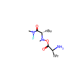 CCCC[C@@H](C(=O)N(C)F)N(C)OC(=O)[C@@H](N)CCC